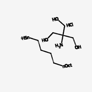 CCCCCCCCCCC[CH2][SnH].Cl.NC(CO)(CO)CO